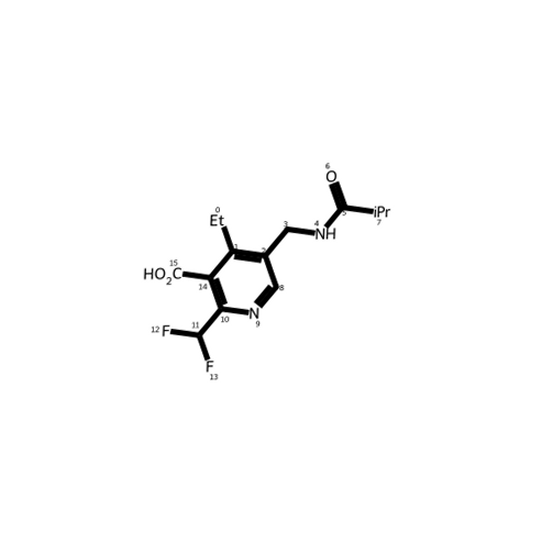 CCc1c(CNC(=O)C(C)C)cnc(C(F)F)c1C(=O)O